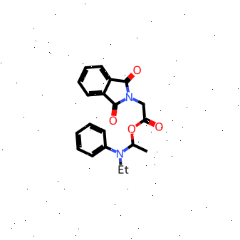 CCN(c1ccccc1)C(C)OC(=O)CN1C(=O)c2ccccc2C1=O